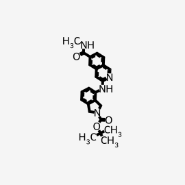 CNC(=O)c1ccc2cnc(Nc3cccc4c3CN(C(=O)OC(C)(C)C)C4)cc2c1